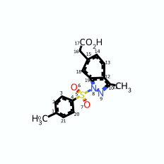 Cc1ccc(S(=O)(=O)n2nc(C)c3ccc(CC(=O)O)cc32)cc1